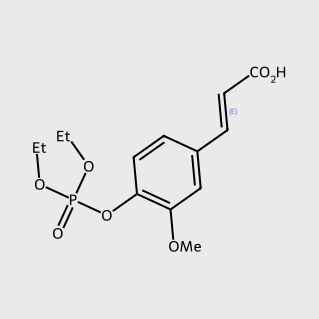 CCOP(=O)(OCC)Oc1ccc(/C=C/C(=O)O)cc1OC